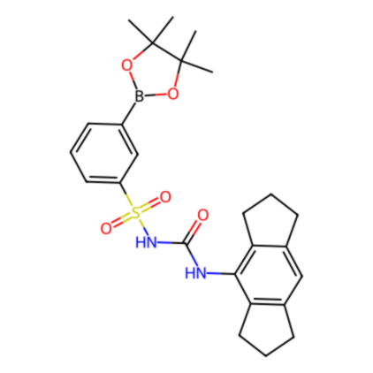 CC1(C)OB(c2cccc(S(=O)(=O)NC(=O)Nc3c4c(cc5c3CCC5)CCC4)c2)OC1(C)C